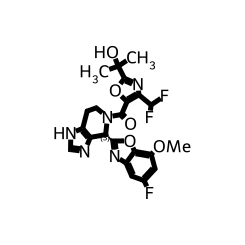 COc1cc(F)cc2nc([C@@H]3c4nc[nH]c4CCN3C(=O)c3oc(C(C)(C)O)nc3C(F)F)oc12